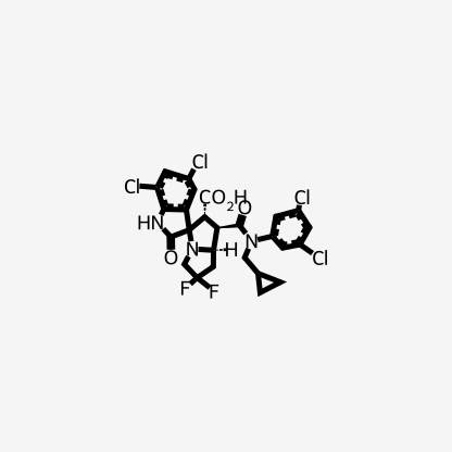 O=C(O)[C@@H]1[C@@H](C(=O)N(CC2CC2)c2cc(Cl)cc(Cl)c2)[C@H]2CC(F)(F)CN2C12C(=O)Nc1c(Cl)cc(Cl)cc12